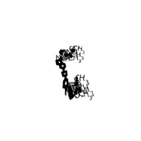 COC(=O)N[C@H](C(=O)NC1(c2nc3ccc(-c4ccc(-c5ccc6c(ccc7nc([C@@H]8CCCN8C(=O)[C@@H](NC(=O)OC)C(C)C)[nH]c76)c5)cc4)cc3[nH]2)CCC1)C(C)C